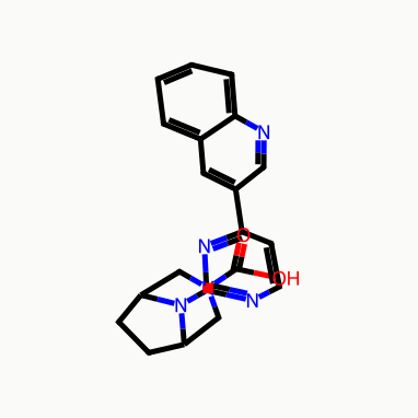 O=C(O)N1CC2CCC(C1)N2c1nccc(-c2cnc3ccccc3c2)n1